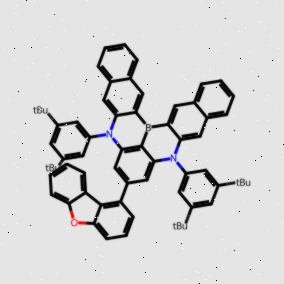 CC(C)(C)c1cc(N2c3cc4ccccc4cc3B3c4cc5ccccc5cc4N(c4cc(C(C)(C)C)cc(C(C)(C)C)c4)c4cc(-c5cccc6oc7ccccc7c56)cc2c43)cc(C(C)(C)C)c1